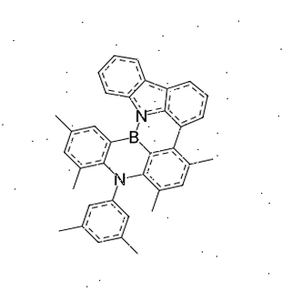 Cc1cc(C)cc(N2c3c(C)cc(C)cc3B3c4c(c(C)cc(C)c42)-c2cccc4c5ccccc5n3c24)c1